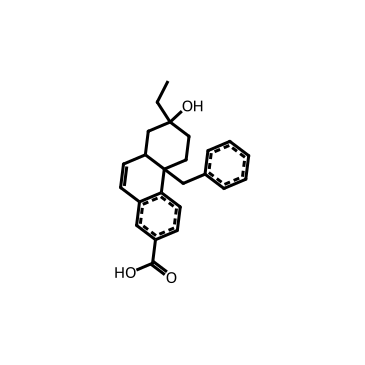 CCC1(O)CCC2(Cc3ccccc3)c3ccc(C(=O)O)cc3C=CC2C1